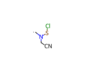 [CH2]N(CC#N)SCl